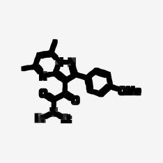 CCN(CC)C(=O)C(=O)c1c(-c2ccc(OC)cc2)nn2c(C)cc(C)nc12